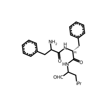 CC(C)CC(C=O)NC(=O)[C@@H](Cc1ccccc1)NC(=O)C(N)Cc1ccccc1